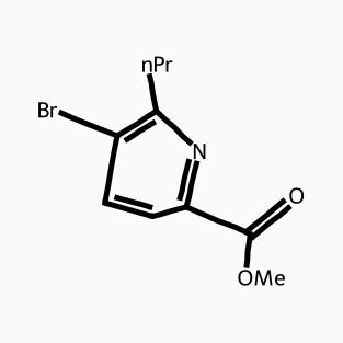 CCCc1nc(C(=O)OC)ccc1Br